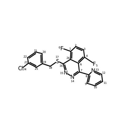 Fc1ccc(F)c2c(-c3ccccn3)nnc(SCc3cccc(Cl)c3)c12